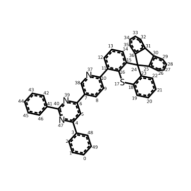 c1ccc(-c2cc(-c3ccc(-c4cccc5c4Sc4ccccc4C54c5ccccc5-c5ccccc54)nc3)nc(-c3ccccc3)n2)cc1